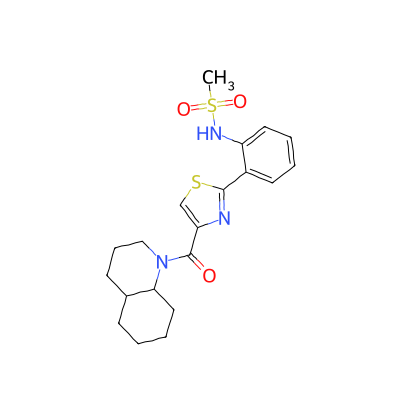 CS(=O)(=O)Nc1ccccc1-c1nc(C(=O)N2CCCC3CCCCC32)cs1